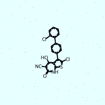 N#Cc1c(O)c2c(-c3ccc(-c4ccccc4Cl)cc3)c(Cl)sc2[nH]c1=O